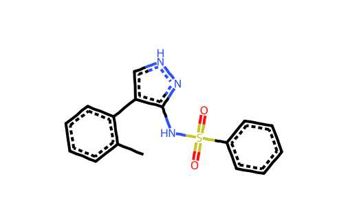 Cc1ccccc1-c1c[nH]nc1NS(=O)(=O)c1ccccc1